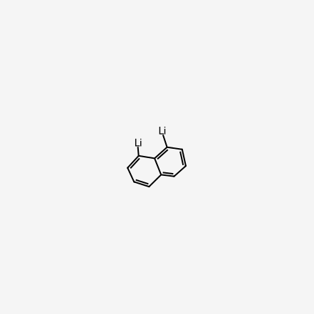 [Li][c]1cccc2ccc[c]([Li])c12